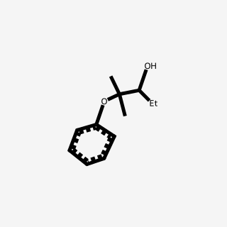 CCC(O)C(C)(C)Oc1ccccc1